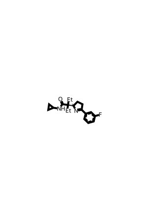 CCC(CC)(C(=O)NC1CC1)[C@H]1CCC(c2cccc(F)c2)=N1